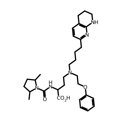 CC1CCC(C)N1C(=O)NC(CCN(CCCCc1ccc2c(n1)NCCC2)CCOc1ccccc1)C(=O)O